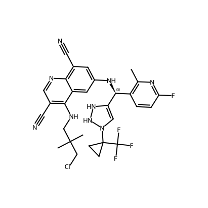 Cc1nc(F)ccc1[C@H](Nc1cc(C#N)c2ncc(C#N)c(NCC(C)(C)CCl)c2c1)C1=CN(C2(C(F)(F)F)CC2)NN1